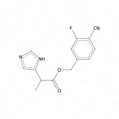 CC(C(=O)OCc1ccc(C#N)c(F)c1)c1cnc[nH]1